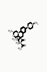 CC(=O)NC(=O)[C@]1(C(C)=O)Cc2cc(N3CCN(C)CC3)ccc2N2C[C@@H](C)O[C@@H](C)[C@@H]21